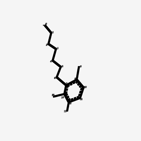 [CH2]CCCCCCc1c(C)ccc(C)c1C